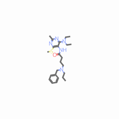 CCCN(CCCC(=O)Nc1c(SC)nc(C)nc1N(CC)CC)Cc1ccccc1